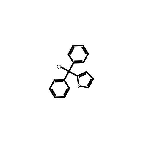 ClC(c1ccccc1)(c1ccccc1)c1cccs1